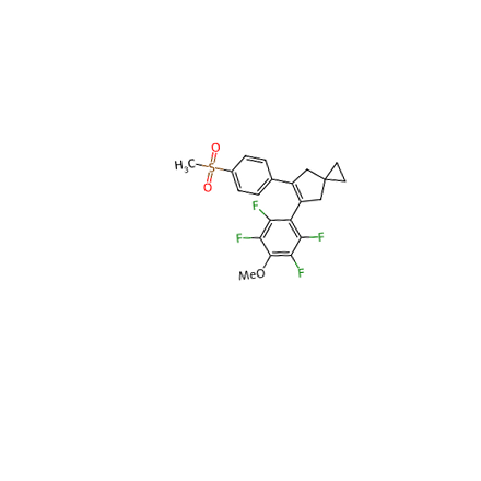 COc1c(F)c(F)c(C2=C(c3ccc(S(C)(=O)=O)cc3)CC3(CC3)C2)c(F)c1F